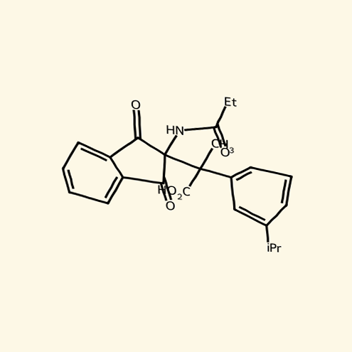 CCC(=O)NC1(C(C)(C(=O)O)c2cccc(C(C)C)c2)C(=O)c2ccccc2C1=O